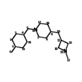 CC1CCC(CN2CCC(CC3CN(C)C3)CC2)CC1